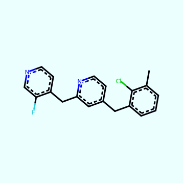 Cc1cccc(Cc2ccnc(Cc3ccncc3F)c2)c1Cl